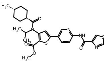 COC(=O)c1sc(-c2ccc(NC(=O)c3cscn3)nc2)cc1N(C(=O)[C@H]1CC[C@H](C)CC1)C(C)C